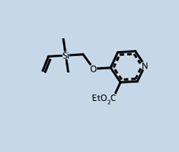 C=C[Si](C)(C)COc1ccncc1C(=O)OCC